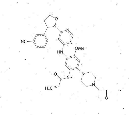 C=CC(=O)Nc1cc(Nc2cc(N3OCCC3c3cccc(C#N)c3)ncn2)c(OC)cc1N1CCN(C2COC2)CC1